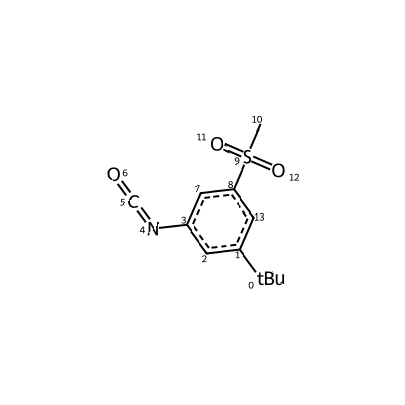 CC(C)(C)c1cc(N=C=O)cc(S(C)(=O)=O)c1